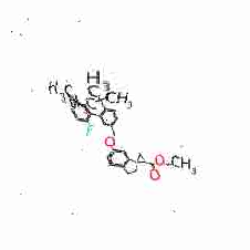 CCOC(=O)[C@@H]1C[C@]12CCc1ccc(OCc3ccc(C(C)(C)C)c(-c4cc(C)ccc4F)c3)cc12